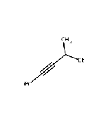 CCC(C)C#CC(C)C